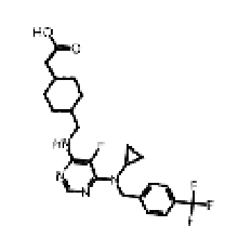 O=C(O)CC1CCC(CNc2ncnc(N(Cc3ccc(C(F)(F)F)cc3)C3CC3)c2F)CC1